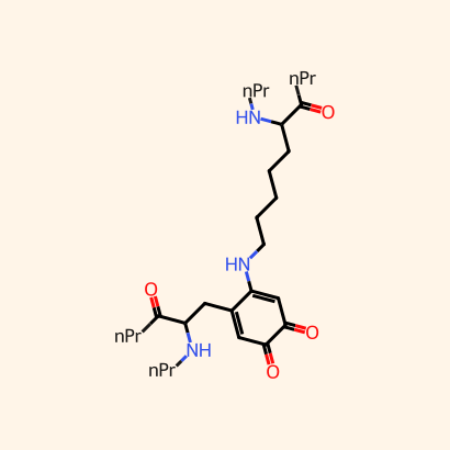 CCCNC(CCCCCNC1=CC(=O)C(=O)C=C1CC(NCCC)C(=O)CCC)C(=O)CCC